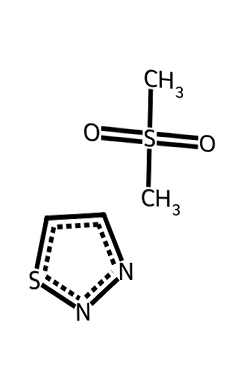 CS(C)(=O)=O.c1csnn1